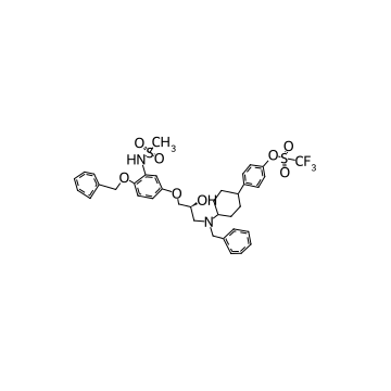 CS(=O)(=O)Nc1cc(OC[C@@H](O)CN(Cc2ccccc2)C2CCC(c3ccc(OS(=O)(=O)C(F)(F)F)cc3)CC2)ccc1OCc1ccccc1